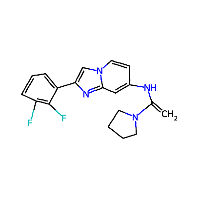 C=C(Nc1ccn2cc(-c3cccc(F)c3F)nc2c1)N1CCCC1